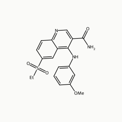 CCS(=O)(=O)c1ccc2ncc(C(N)=O)c(Nc3cccc(OC)c3)c2c1